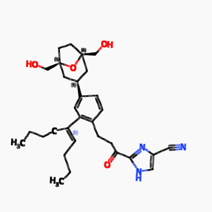 CCC/C=C(\CCCC)c1cc([C@H]2C[C@]3(CO)CC[C@](CO)(C2)O3)ccc1CCC(=O)c1nc(C#N)c[nH]1